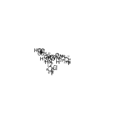 CN(C(=O)NCc1cccc(F)c1Cl)[C@H](COC(=O)Nc1cc2cc(F)ccc2cn1)CC(O)COS(=O)(=O)O